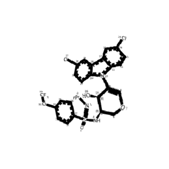 CCCN=S(=O)(N[C@@H]1COC=C(n2c3ccc(Cl)cc3c3cc(Cl)ccc32)[C@@H]1O)c1ccc(OC(F)(F)F)cc1